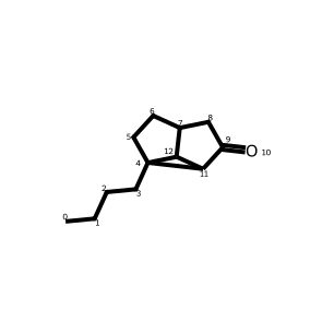 CCCCC12CCC3CC(=O)C1C32